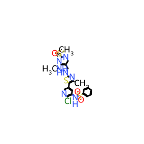 CNc1nc([S@@+](C)[O-])ncc1CNc1nc(C)c(-c2cnc(Cl)c(NS(=O)(=O)c3ccccc3)c2)s1